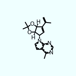 C=C(C)C1=C[C@@H](n2ccc3c(C)ncnc32)[C@@H]2OC(C)(C)O[C@H]12